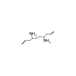 C=CCC(N)CCC(N)CC=C